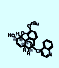 CCCCOc1ccc2c3c1O[C@H]1[C@@H](O)C=C[C@H]4[C@@H](C2)N(C)CC[C@@]341.c1ccc2ncccc2c1